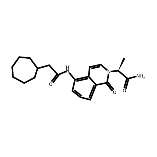 C[C@@H](C(N)=O)n1ccc2c(NC(=O)CC3CCCCCC3)cccc2c1=O